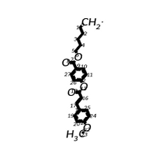 [CH2]CCCCCOC(=O)c1ccc(OC(=O)C=Cc2ccc(OC)cc2)cc1